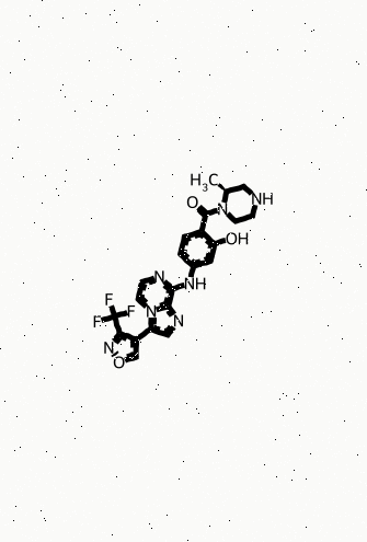 C[C@H]1CNCCN1C(=O)c1ccc(Nc2nccn3c(-c4conc4C(F)(F)F)cnc23)cc1O